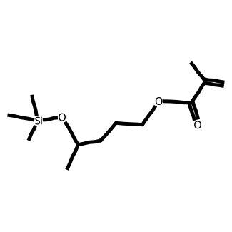 C=C(C)C(=O)OCCCC(C)O[Si](C)(C)C